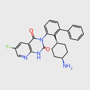 N[C@H]1CC[C@@H](c2c(-c3ccccc3)cccc2-n2c(=O)[nH]c3ncc(F)cc3c2=O)CC1